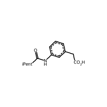 CCCC(C)C(=O)Nc1cccc(CC(=O)O)c1